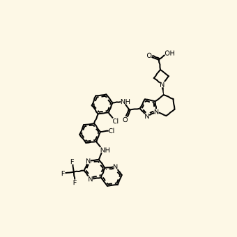 O=C(Nc1cccc(-c2cccc(Nc3nc(C(F)(F)F)nc4cccnc34)c2Cl)c1Cl)c1cc2n(n1)CCC[C@@H]2N1CC(C(=O)O)C1